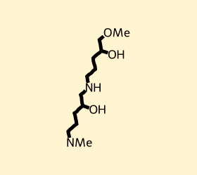 CNCCCC(O)CNCCCC(O)COC